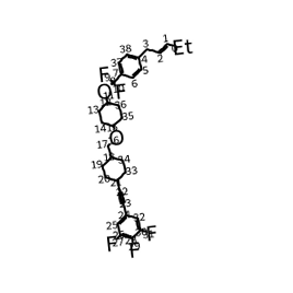 CC/C=C/Cc1ccc(C(F)(F)OC2CCC(OCC3CCC(C#Cc4cc(F)c(F)c(F)c4)CC3)CC2)cc1